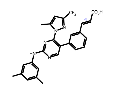 Cc1cc(C)cc(Nc2ncc(-c3cccc(/C=C/C(=O)O)c3)c(-n3nc(C(F)(F)F)cc3C)n2)c1